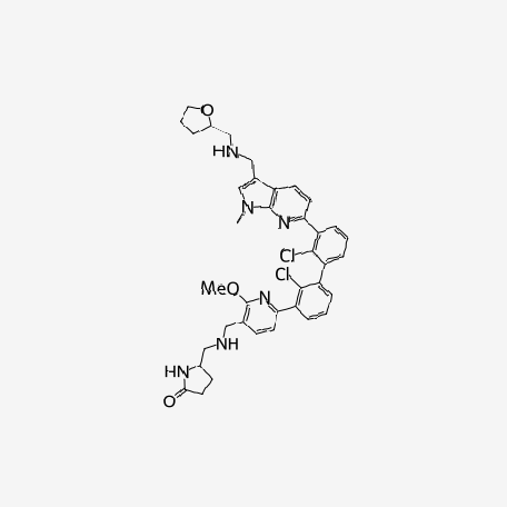 COc1nc(-c2cccc(-c3cccc(-c4ccc5c(CNCC6CCCO6)cn(C)c5n4)c3Cl)c2Cl)ccc1CNCC1CCC(=O)N1